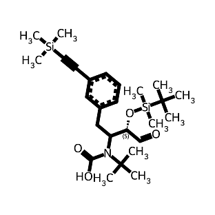 CC(C)(C)N(C(=O)O)C(Cc1cccc(C#C[Si](C)(C)C)c1)[C@@H](C=O)O[Si](C)(C)C(C)(C)C